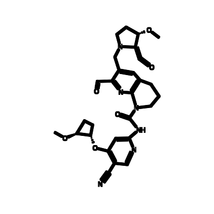 CO[C@H]1CCN(Cc2cc3c(nc2C=O)N(C(=O)Nc2cc(O[C@H]4CC[C@@H]4OC)c(C#N)cn2)CCC3)C1=C=O